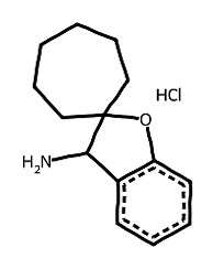 Cl.NC1c2ccccc2OC12CCCCCC2